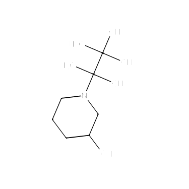 CC1CCCN(C(C)(C)C(C)(C)C)C1